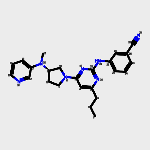 CCCc1cc(N2CC[C@H](N(C)c3cccnc3)C2)nc(Nc2cccc(C#N)c2)n1